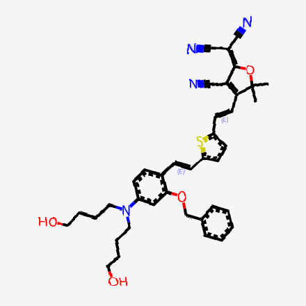 CC1(C)OC(=C(C#N)C#N)C(C#N)=C1/C=C/c1ccc(/C=C/c2ccc(N(CCCCO)CCCCO)cc2OCc2ccccc2)s1